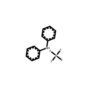 F[B-](F)(F)F.c1ccc(Nc2ccccc2)cc1